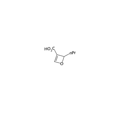 CCCC1OC=C1C(=O)O